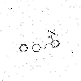 CS(=O)(=O)Nc1cccnc1CO[C@H]1CC[C@@H](c2ccccc2)CC1